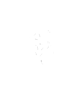 COC(=O)c1c(C[N+]2(C3CCNCC3)CCCCC2)c(-c2cccc(C(F)(F)F)c2)nc2ccc(C#N)cc12